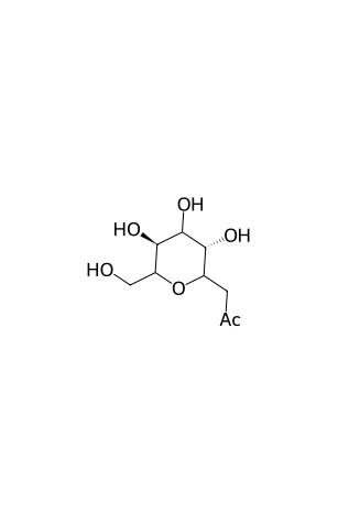 CC(=O)CC1OC(CO)[C@@H](O)C(O)[C@@H]1O